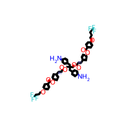 Nc1ccc(CC(COC(=O)/C=C/c2ccc(OC(=O)c3ccc(OCCCC(F)(F)F)cc3)cc2)(COC(=O)/C=C/c2ccc(OC(=O)c3ccc(OCCCC(F)(F)F)cc3)cc2)Cc2ccc(N)cc2)cc1